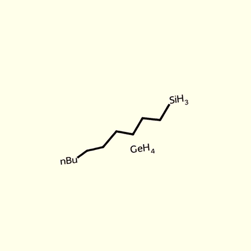 CCCCCCCCCC[SiH3].[GeH4]